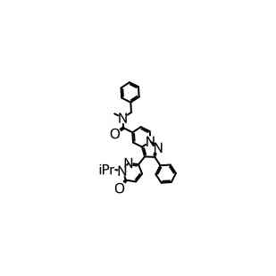 CC(C)n1nc(-c2c(-c3ccccc3)nn3ccc(C(=O)N(C)Cc4ccccc4)cc23)ccc1=O